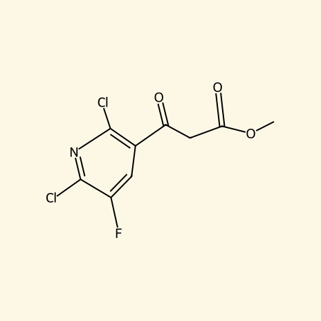 COC(=O)CC(=O)c1cc(F)c(Cl)nc1Cl